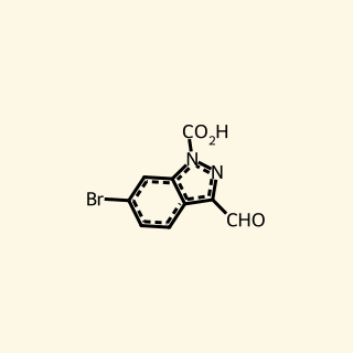 O=Cc1nn(C(=O)O)c2cc(Br)ccc12